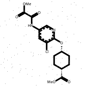 COC(=O)C(=O)Nc1cnc(O[C@H]2CC[C@@H](C(=O)OC)CC2)c(Cl)c1